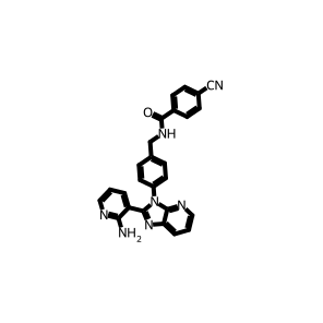 N#Cc1ccc(C(=O)NCc2ccc(-n3c(-c4cccnc4N)nc4cccnc43)cc2)cc1